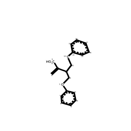 C=C(C(=O)O)C(COc1ccccc1)CSc1ccccc1